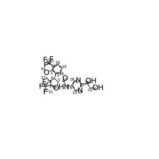 COc1c([C@H]2[C@H](C(=O)Nc3cnc([C@H](O)CO)nc3)O[C@@](C)(C(F)(F)F)[C@H]2C)cccc1C(F)(F)F